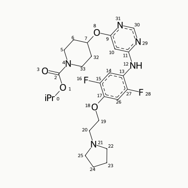 CC(C)OC(=O)N1CCC(Oc2cc(Nc3cc(F)c(OCCN4CCCC4)cc3F)ncn2)CC1